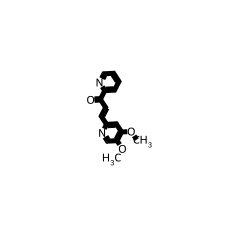 COc1cnc(C=CC(=O)c2ccccn2)cc1OC